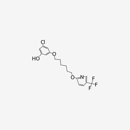 Oc1cc(Cl)cc(OCCCCCCOc2ccc(C(F)(F)F)cn2)c1